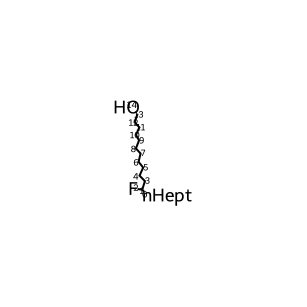 CCCCCCCC(F)CCCCCCCCCCCO